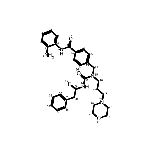 Nc1ccccc1NC(=O)c1ccc(CN(CCCN2CCOCC2)C(=O)NC(F)Cc2ccccc2)cc1